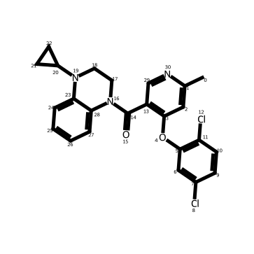 Cc1cc(Oc2cc(Cl)ccc2Cl)c(C(=O)N2CCN(C3CC3)c3ccccc32)cn1